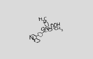 Cc1ccc(NC(=O)[C@H](Cc2ccc(C(C)C(=O)O)cc2)C2CCC(c3ccnc4ccccc34)CC2)cc1